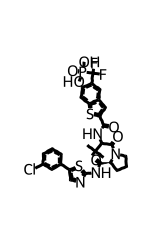 CC(C)(C)C(NC(=O)c1cc2cc(C(F)(F)P(=O)(O)O)ccc2s1)C(=O)N1CCC[C@H]1C(=O)Nc1ncc(-c2cccc(Cl)c2)s1